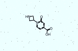 O=C(O)c1ccn(C2CNC2)c(=O)c1